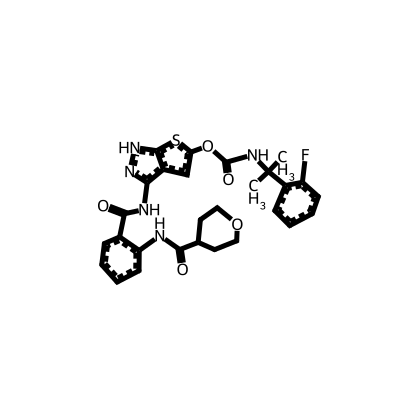 CC(C)(NC(=O)Oc1cc2c(NC(=O)c3ccccc3NC(=O)C3CCOCC3)n[nH]c2s1)c1ccccc1F